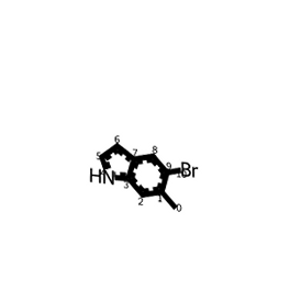 Cc1cc2[nH]ccc2cc1Br